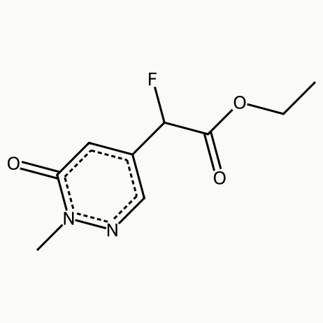 CCOC(=O)C(F)c1cnn(C)c(=O)c1